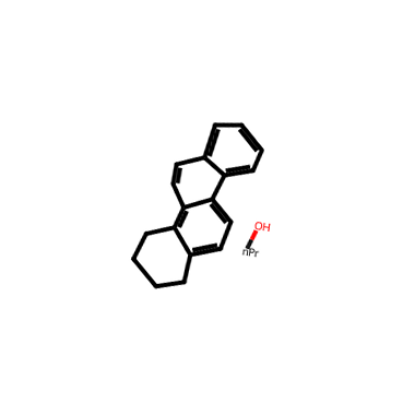 CCCO.c1ccc2c(c1)ccc1c3c(ccc12)CCCC3